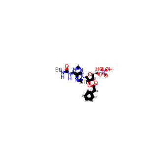 CCNC(=O)Nc1ncnc2c1ncn2[C@@H]1O[C@H](COP(=O)(O)O)C2OC(Cc3ccccc3)O[C@@H]21